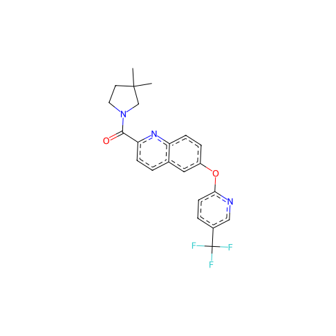 CC1(C)CCN(C(=O)c2ccc3cc(Oc4ccc(C(F)(F)F)cn4)ccc3n2)C1